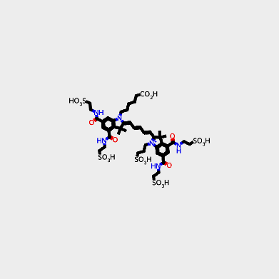 CC1(C)C(/C=C/C=C/C=C2/N(CCCCCC(=O)O)c3cc(C(=O)NCCS(=O)(=O)O)cc(C(=O)NCCS(=O)(=O)O)c3C2(C)C)=[N+](CCCS(=O)(=O)O)c2cc(C(=O)NCCS(=O)(=O)O)cc(C(=O)NCCS(=O)(=O)O)c21